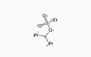 CCS(=O)(=O)OC(C(C)C)C(C)C